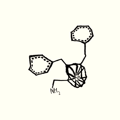 NC[C]12[CH]3[CH]4[C]5(Cc6ccccc6)[C]1(Cc1ccccc1)[Fe]34251678[CH]2[CH]1[CH]6[CH]7[CH]28